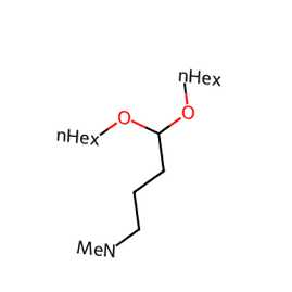 CCCCCCOC(CCCNC)OCCCCCC